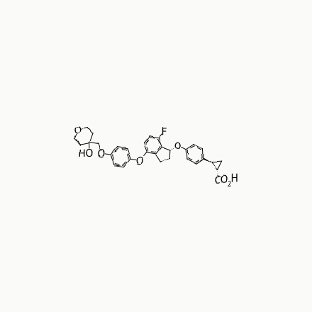 O=C(O)[C@H]1C[C@@H]1c1ccc(O[C@@H]2CCc3c(Oc4ccc(OCC5(O)CCOCC5)cc4)ccc(F)c32)cc1